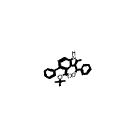 Cc1[nH]c2ccc(-c3ccccc3)c(C(=O)OC(C)(C)C)c2c1C(=O)c1ccccc1